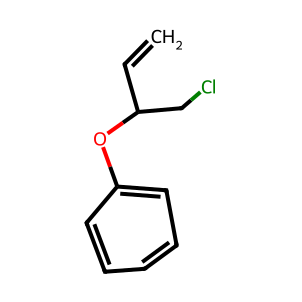 C=CC(CCl)Oc1ccccc1